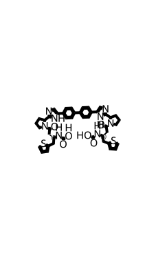 O=C(O)N[C@@H](CC(=O)N1CCCC1c1ncc(-c2ccc(-c3ccc(-c4cnc(C5CCCN5C(=O)C[C@@H](Cc5cccs5)NC(=O)O)[nH]4)cc3)cc2)[nH]1)Cc1cccs1